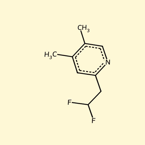 Cc1cnc(CC(F)F)cc1C